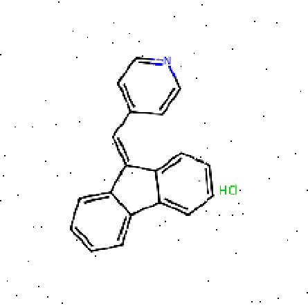 C(=C1c2ccccc2-c2ccccc21)c1ccncc1.Cl